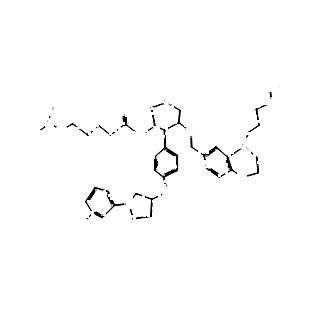 COCCCN1CCOc2ccc(COC3CNCC(OC(=O)CCCCON(O)O)C3c3ccc(OC4CCN(c5cccc(F)c5)C4)cc3)cc21